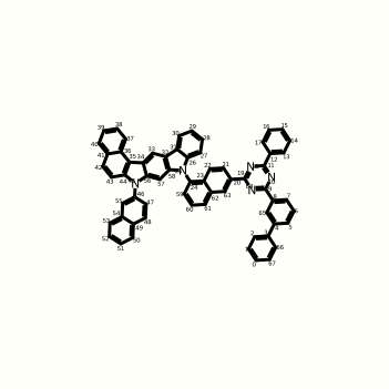 c1ccc(-c2cccc(-c3nc(-c4ccccc4)nc(-c4ccc5c(-n6c7ccccc7c7cc8c9c%10ccccc%10ccc9n(-c9ccc%10ccccc%10c9)c8cc76)cccc5c4)n3)c2)cc1